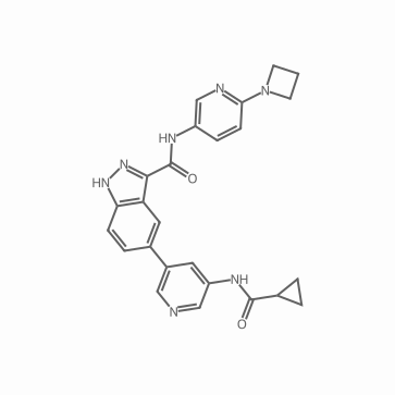 O=C(Nc1ccc(N2CCC2)nc1)c1n[nH]c2ccc(-c3cncc(NC(=O)C4CC4)c3)cc12